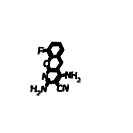 N#Cc1c(N)nc2c(c1N)Cc1cccc(F)c1O2